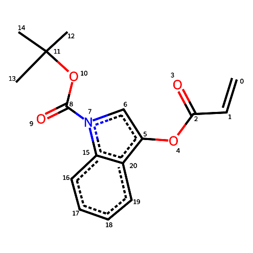 C=CC(=O)Oc1cn(C(=O)OC(C)(C)C)c2ccccc12